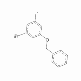 [CH2]c1cc(OCc2ccccc2)cc(C(C)C)c1